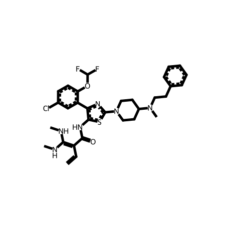 C=CC(C(=O)Nc1sc(N2CCC(N(C)CCc3ccccc3)CC2)nc1-c1cc(Cl)ccc1OC(F)F)=C(NC)NC